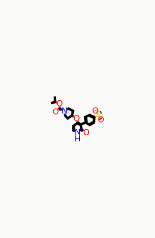 CC(C)OC(=O)N1CCC(Oc2cc[nH]c(=O)c2-c2ccc(S(C)(=O)=O)cc2)CC1